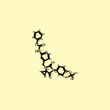 O=C(Nc1cc(CN2C(=O)N(c3ccc(SC(F)(F)F)cc3)C(=O)C23CC3)ccn1)Oc1ccccc1